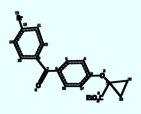 CCOC(=O)C1(Oc2ccc(C(=O)c3ccc(Br)cc3)cc2)CC1